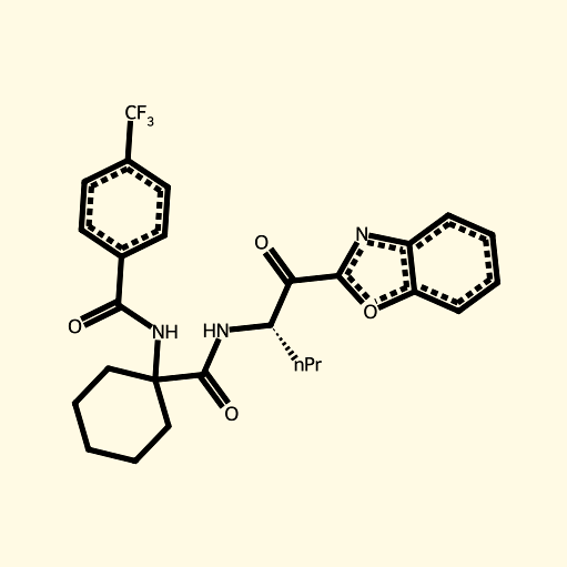 CCC[C@H](NC(=O)C1(NC(=O)c2ccc(C(F)(F)F)cc2)CCCCC1)C(=O)c1nc2ccccc2o1